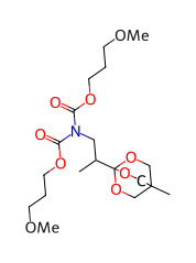 COCCCOC(=O)N(CC(C)C12OCC(C)(CO1)CO2)C(=O)OCCCOC